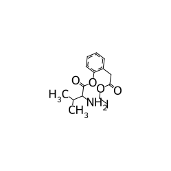 CC(C)C(N)C(=O)Oc1ccccc1CC(=O)OCI